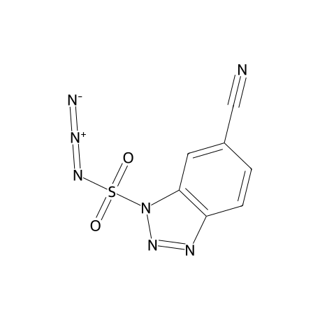 N#Cc1ccc2nnn(S(=O)(=O)N=[N+]=[N-])c2c1